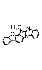 Cn1c2c3oc4ccccc4c3ccc2n2c3ccccc3nc12